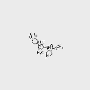 COC(=O)c1ccncc1Nc1c(C)nn(-c2ccc(OC)cc2)c1C